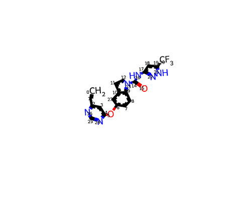 C=Cc1cc(Oc2ccc3c(ccn3C(=O)Nc3cc(C(F)(F)F)[nH]n3)c2)ncn1